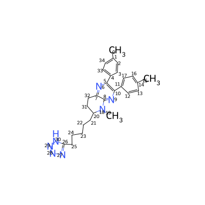 Cc1ccc(-c2nc3c(nc2-c2ccc(C)cc2)N(C)C(CCCCCc2nnn[nH]2)CC3)cc1